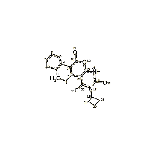 CCc1c(-c2ccccc2)c(=O)oc2[nH]c(=O)n(C3CCC3)c(=O)c12